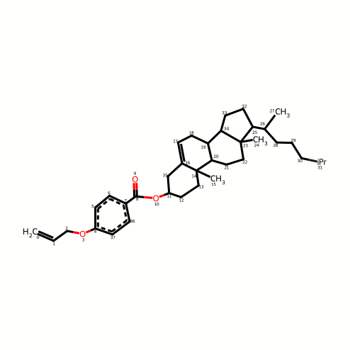 C=CCOc1ccc(C(=O)OC2CCC3(C)C(=CCC4C3CCC3(C)C(C(C)CCCC(C)C)CCC43)C2)cc1